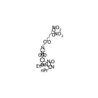 CCCc1cn(C)c2c(=O)nc(-c3cc(S(=O)(=O)N4CCN(CCOC(=O)CCCC(CO[N+](=O)[O-])O[N+](=O)[O-])CC4)ccc3OCC)[nH]c12